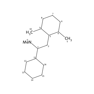 CNC(CC1C(C)CCCC1C)C1CCCCC1